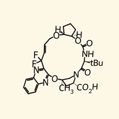 CC(C)(C)[C@@H]1NC(=O)O[C@@H]2CCC[C@H]2OC/C=C/C(F)(F)c2nc3ccccc3nc2O[C@]2(C)C[C@@H](C(=O)O)N(C2)C1=O